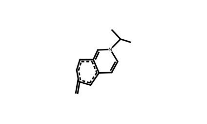 C=c1ccc2c(c1)C=CN(C(C)C)C=2